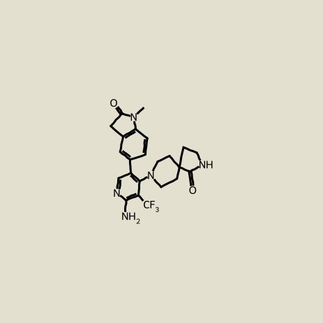 CN1C(=O)Cc2cc(-c3cnc(N)c(C(F)(F)F)c3N3CCC4(CCNC4=O)CC3)ccc21